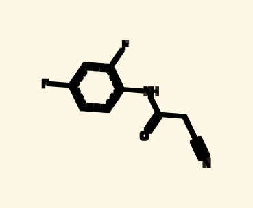 N#CCC(=O)Nc1ccc(F)cc1F